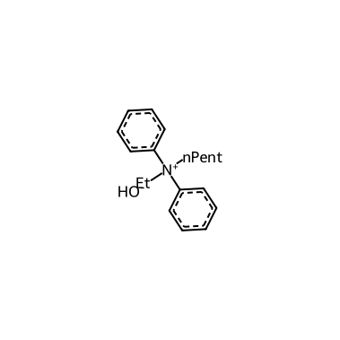 CCCCC[N+](CC)(c1ccccc1)c1ccccc1.[OH-]